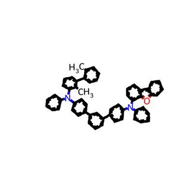 Cc1ccccc1-c1cccc(N(c2ccccc2)c2ccc(-c3cccc(-c4ccc(N(c5ccccc5)c5cccc6c5oc5ccccc56)cc4)c3)cc2)c1C